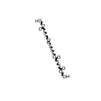 O=C(CSCSCCOOCSCSCSCOC(=O)CSCSCC(=O)OCCO)OCCO